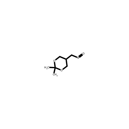 CC1(C)OCC(CN=O)CO1